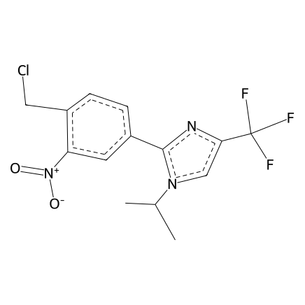 CC(C)n1cc(C(F)(F)F)nc1-c1ccc(CCl)c([N+](=O)[O-])c1